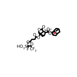 CC1(OC(=O)C2C3CC4C(OC(=O)C42)C3OC(=O)CCC(=O)OC(C(F)(F)F)C(F)(F)S(=O)(=O)O)C2CC3CC(C2)CC1C3